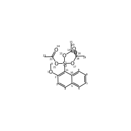 COc1ccc2ccccc2c1[Si](OC(C)=O)(OC(C)=O)OC(C)=O